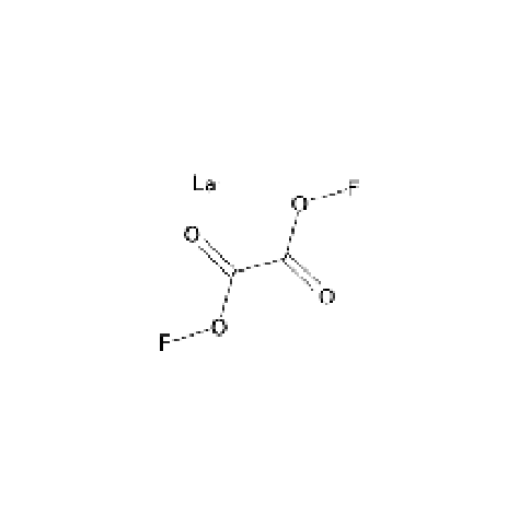 O=C(OF)C(=O)OF.[La]